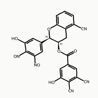 N#Cc1cc(C(=O)O[C@@H]2Cc3c(C#N)cccc3O[C@@H]2c2cc(O)c(N=O)c(N=O)c2)cc(O)c1C#N